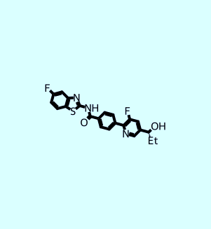 CC[C@@H](O)c1cnc(-c2ccc(C(=O)Nc3nc4cc(F)ccc4s3)cc2)c(F)c1